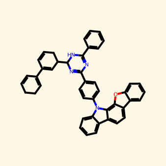 C1=CC(C2=CC(C3N=C(c4ccc(-n5c6ccccc6c6ccc7c8ccccc8oc7c65)cc4)N=C(c4ccccc4)N3)CC=C2)=CCC1